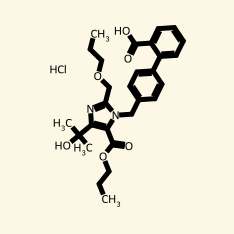 CCCOCc1nc(C(C)(C)O)c(C(=O)OCCC)n1Cc1ccc(-c2ccccc2C(=O)O)cc1.Cl